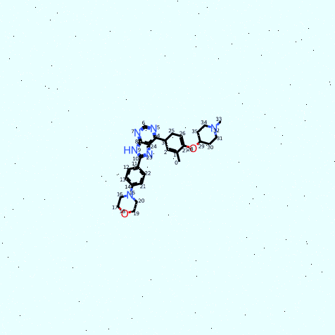 CC1=CC(c2ncnc3[nH]c(-c4ccc(N5CCOCC5)cc4)nc23)CC=C1OC1CCN(C)CC1